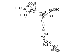 O=CNCCCCC(NC(=O)C(CCCCNC(=O)CN1CCN(CC(=O)O)CCN(CC(=O)O)CCN(CC(=O)O)CC1)NC(=O)CCOCCOCCOCCNC(=O)COc1ccc2c(C(=O)NCC(=O)N3CCCC3B(O)O)ccnc2c1)C(=O)O